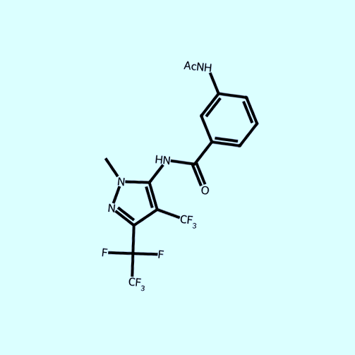 CC(=O)Nc1cccc(C(=O)Nc2c(C(F)(F)F)c(C(F)(F)C(F)(F)F)nn2C)c1